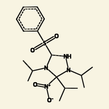 CC(C)N1NC(S(=O)(=O)c2ccccc2)N(C(C)C)C1(C(C)C)[N+](=O)[O-]